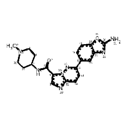 CN1CCC(NC(=O)c2cnc3ccc(-c4ccc5oc(N)nc5c4)nn23)CC1